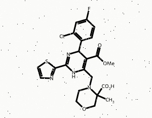 COC(=O)C1=C(CN2CCOCC2(C)C(=O)O)NC(c2nccs2)=NC1c1ccc(F)cc1Cl